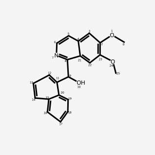 COc1cc2ccnc(C(O)c3cccc4ccccc34)c2cc1OC